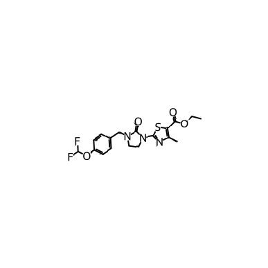 CCOC(=O)c1sc(N2CCN(Cc3ccc(OC(F)F)cc3)C2=O)nc1C